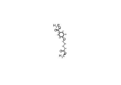 COC(=O)CCCCOc1ccc(C(=O)OC)cc1